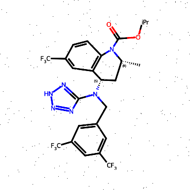 CC(C)OC(=O)N1c2ccc(C(F)(F)F)cc2[C@@H](N(Cc2cc(C(F)(F)F)cc(C(F)(F)F)c2)c2nn[nH]n2)C[C@H]1C